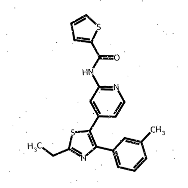 CCc1nc(-c2cccc(C)c2)c(-c2ccnc(NC(=O)c3cccs3)c2)s1